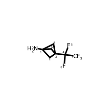 NC12CC(C(F)(F)C(F)(F)F)(C1)C2